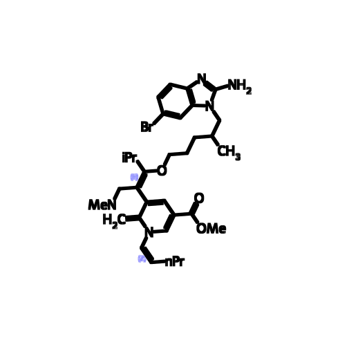 C=C1C(/C(CNC)=C(\OCCCC(C)Cn2c(N)nc3ccc(Br)cc32)C(C)C)=CC(C(=O)OC)=CN1/C=C\CCC